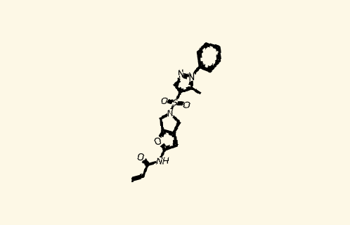 C=CC(=O)Nc1cc2c(o1)CN(S(=O)(=O)c1cnn(-c3ccccc3)c1C)C2